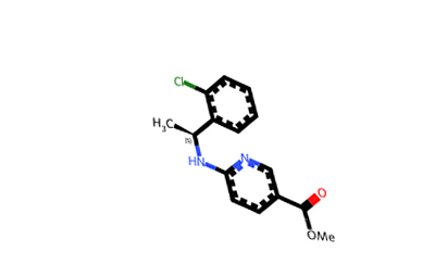 COC(=O)c1ccc(N[C@@H](C)c2ccccc2Cl)nc1